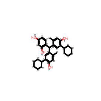 Cc1cc(O)c(C2CCCCC2)cc1C(c1cc(C2CCCCC2)c(O)cc1C)c1ccc(O)cc1O